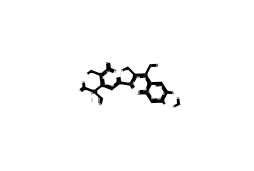 CCc1c2c(nc3cc4c(cc13)OCO4)-c1cc3c(c(=O)n1C2)COC(=O)[C@]3(O)CC